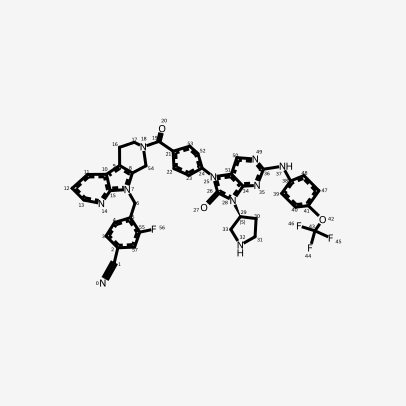 N#Cc1ccc(Cn2c3c(c4cccnc42)CCN(C(=O)c2ccc(-n4c(=O)n([C@H]5CCNC5)c5nc(Nc6ccc(OC(F)(F)F)cc6)ncc54)cc2)C3)c(F)c1